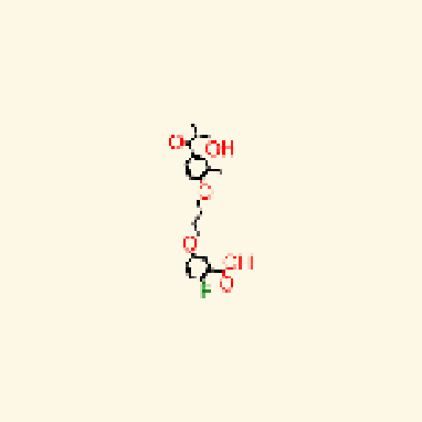 Cc1c(OCCCCOc2ccc(F)c(C(=O)O)c2)ccc(C(=O)C(C)C)c1O